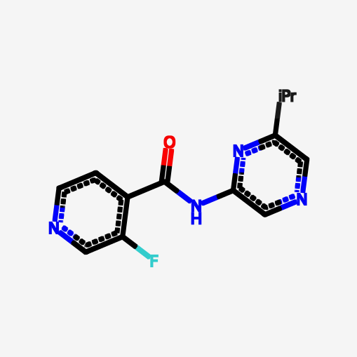 CC(C)c1cncc(NC(=O)c2ccncc2F)n1